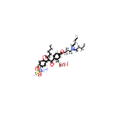 Br.CCCCc1oc2ccc(NS(C)(=O)=O)cc2c1C(=O)c1ccc(OCCCN(CCCC)CCCC)cc1